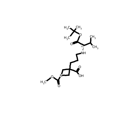 COC(=O)N1CC(CCCN[C@H](C(=O)OC(C)(C)C)C(C)C)(C(=O)O)C1